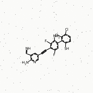 N=Cc1cc(C#Cc2c(F)cc(-c3c(S)ccc(Cl)c3Cl)c(N)c2F)cnc1N